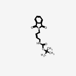 CC(C)(C)OC(=O)NC/C=C\CN1C(=O)c2ccccc2C1=O